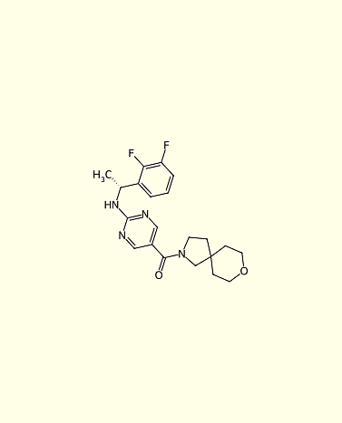 C[C@@H](Nc1ncc(C(=O)N2CCC3(CCOCC3)C2)cn1)c1cccc(F)c1F